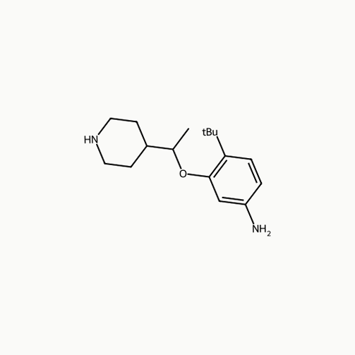 CC(Oc1cc(N)ccc1C(C)(C)C)C1CCNCC1